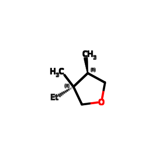 CC[C@@]1(C)COC[C@@H]1C